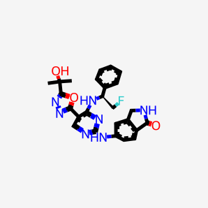 CC(C)(O)c1nnc(-c2cnc(Nc3ccc4c(c3)CNC4=O)nc2N[C@H](CF)c2ccccc2)o1